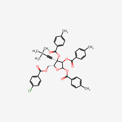 Cc1ccc(C(=O)OC2O[C@H](COC(=O)c3ccc(Cl)cc3)[C@@](C#C[Si](C)(C)C)(OC(=O)c3ccc(C)cc3)[C@H]2OC(=O)c2ccc(C)cc2)cc1